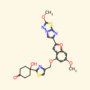 COc1cc(OCc2csc(C3(O)CCC(=O)CC3)n2)c2cc(-c3cn4nc(OC)sc4n3)oc2c1